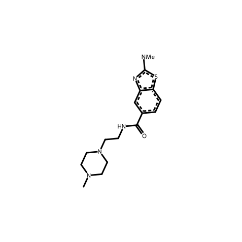 CNc1nc2cc(C(=O)NCCN3CCN(C)CC3)ccc2s1